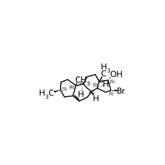 C[C@H]1CC[C@@]2(C)C(=CC[C@H]3[C@@H]4C[C@H](Br)[C@@H](O)[C@@]4(C)CC[C@@H]32)C1